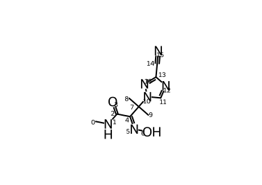 CNC(=O)/C(=N/O)C(C)(C)n1cnc(C#N)n1